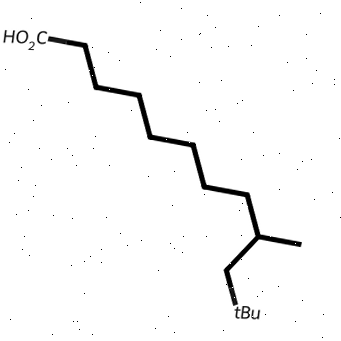 CC(CCCCCCCC(=O)O)CC(C)(C)C